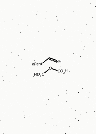 CCCCCC=N.O=C(O)OC(=O)O